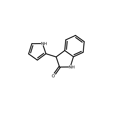 O=C1Nc2ccccc2C1c1ccc[nH]1